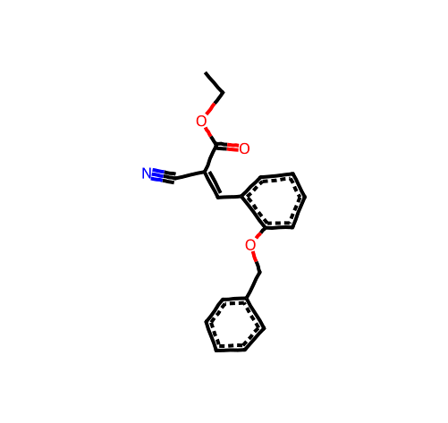 CCOC(=O)C(C#N)=Cc1ccccc1OCc1ccccc1